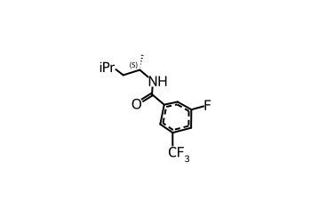 CC(C)C[C@H](C)NC(=O)c1cc(F)cc(C(F)(F)F)c1